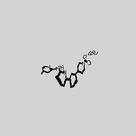 Cc1ccnc(Nc2cccc(-c3cccc(C4=CCN(C(=O)OC(C)(C)C)CC4)c3)n2)c1